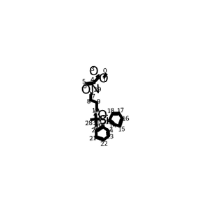 COC(=O)c1coc(CCCO[Si](c2ccccc2)(c2ccccc2)C(C)(C)C)n1